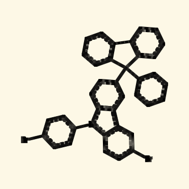 Brc1ccc(-n2c3ccc(Br)cc3c3cc(C4(c5ccccc5)c5ccccc5-c5ccccc54)ccc32)cc1